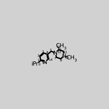 CC(C)c1ccc(CN2CCN(C)C[C@H]2C)cn1